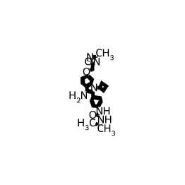 Cc1noc(COc2ccc3c(N)c(-c4ccc(NC(=O)NC(C)C)cc4)n(C4CCC4)c3c2)n1